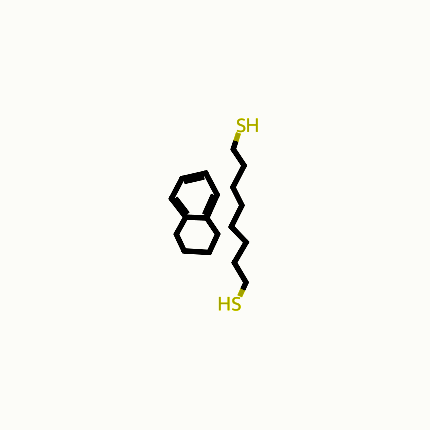 SCCCCCCCCS.c1ccc2c(c1)CCCC2